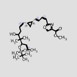 C/C=C/C(O[Si](C)(C)C(C)(C)C)C(C)(C)C(O)C/C=C\[C@H]1C[C@H]1/C=C/C=C\c1nc(C(=O)OC)co1